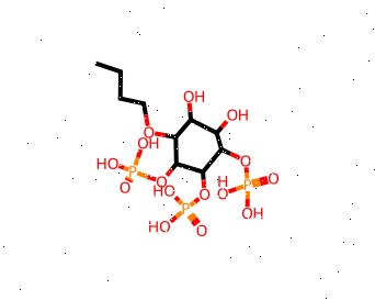 CCCCOC1C(O)C(O)C(OP(=O)(O)O)C(OP(=O)(O)O)C1OP(=O)(O)O